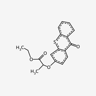 CCOC(=O)C(C)Oc1ccc2c(=O)c3ccccc3sc2c1